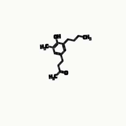 CCCCc1cc(CCC(C)=O)cc(C)c1O